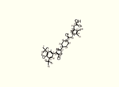 COc1c(C(C)(C)C)cc(-c2nc(C3CCN(C(=O)Cn4nc(CC(=O)O)c(I)c4C)CC3)sc2Cl)cc1C(C)(C)C